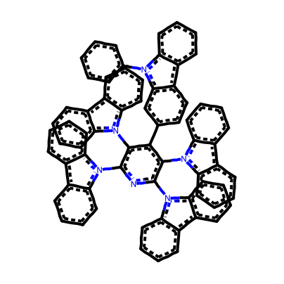 c1ccc(-n2c3ccccc3c3ccc(-c4c(-n5c6ccccc6c6ccccc65)c(-n5c6ccccc6c6ccccc65)nc(-n5c6ccccc6c6ccccc65)c4-n4c5ccccc5c5ccccc54)cc32)cc1